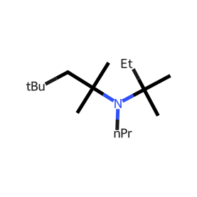 CCCN(C(C)(C)CC)C(C)(C)CC(C)(C)C